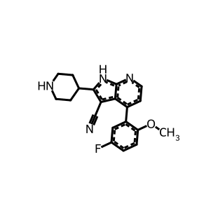 COc1ccc(F)cc1-c1ccnc2[nH]c(C3CCNCC3)c(C#N)c12